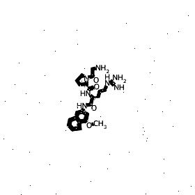 COc1cc(NC(=O)[C@H](CCCNC(=N)N)NC(=O)[C@@H]2CCCN2C(=O)CN)cc2ccccc12